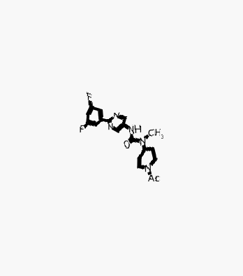 CC(=O)N1CCC(N(C)C(=O)Nc2cnc(-c3cc(F)cc(F)c3)nc2)CC1